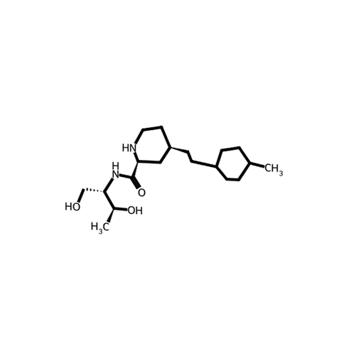 CC1CCC(CC[C@@H]2CCN[C@H](C(=O)N[C@@H](CO)[C@H](C)O)C2)CC1